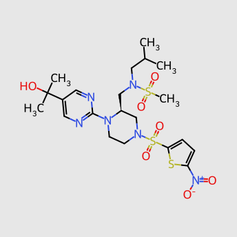 CC(C)CN(C[C@H]1CN(S(=O)(=O)c2ccc([N+](=O)[O-])s2)CCN1c1ncc(C(C)(C)O)cn1)S(C)(=O)=O